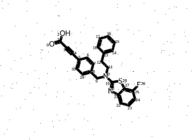 O=C(O)C#Cc1ccc(CN(CCc2ccccc2)c2nc3cccc(F)c3s2)cc1